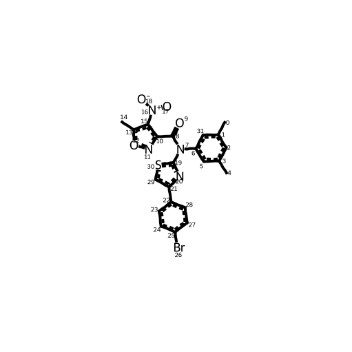 Cc1cc(C)cc(N(C(=O)c2noc(C)c2[N+](=O)[O-])c2nc(-c3ccc(Br)cc3)cs2)c1